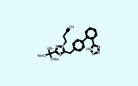 C#CCCn1nc(C(CCCC)(OC)OC)nc1Cc1ccc(-c2ccccc2-c2nnn[nH]2)cc1